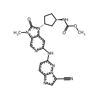 COC(=O)N[C@@H]1CC[C@@H](n2c(=O)n(C)c3cnc(Nc4ccc5ncc(C#N)n5n4)cc32)C1